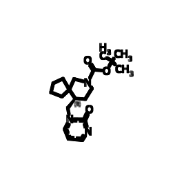 CC(C)(C)OC(=O)N1CC[C@@H](Cn2cccnc2=O)C2(CCCC2)C1